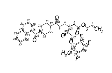 C=CCOC(=O)C[C@H](CCC(=O)C1CCN(C(=O)c2cccc3ccccc23)CC1)C(=O)COc1c(C)c(F)cc(F)c1F